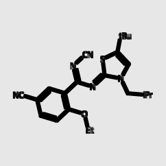 CCOc1ccc(C#N)cc1C(=NC#N)N=c1sc(C(C)(C)C)cn1CC(C)C